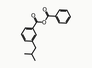 CC(C)Cc1cccc(C(=O)OC(=O)c2ccccc2)c1